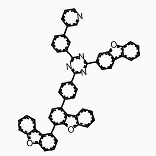 c1cncc(-c2cccc(-c3nc(-c4ccc(-c5ccc(-c6cccc7oc8ccccc8c67)c6oc7ccccc7c56)cc4)nc(-c4ccc5c(c4)oc4ccccc45)n3)c2)c1